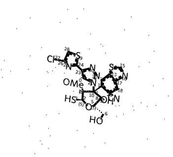 CO[C@@H]1[C@H](S)O[C@@H](CO)[C@@H](O)[C@@]1(c1cc2scnc2cc1C#N)n1cc(-c2nc(Cl)cs2)nn1